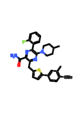 COc1ccc(-c2ccc(Cc3nc(N4CCC(C)CC4)c(-c4ccccc4F)nc3C(N)=O)s2)cc1C